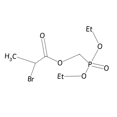 CCOP(=O)(COC(=O)C(C)Br)OCC